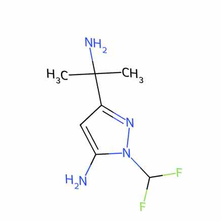 CC(C)(N)c1cc(N)n(C(F)F)n1